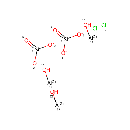 O=[Si]([O-])[O-].O=[Si]([O-])[O-].[Cl-].[Cl-].[OH][Al+2].[OH][Al+2].[OH][Al+2]